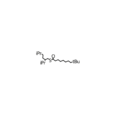 CC(C)CCC(CSC(=O)CCCCCCCC(C)(C)C)C(C)C